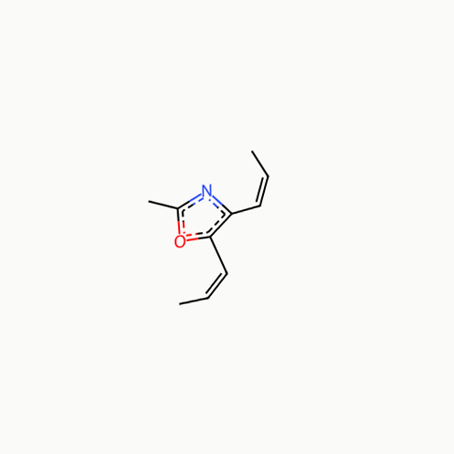 C/C=C\c1nc(C)oc1/C=C\C